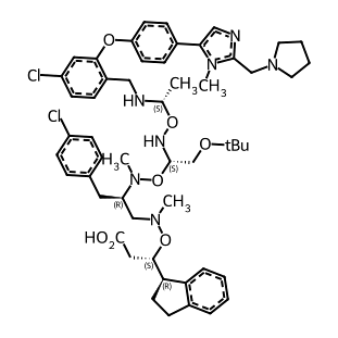 C[C@@H](NCc1ccc(Cl)cc1Oc1ccc(-c2cnc(CN3CCCC3)n2C)cc1)ON[C@H](COC(C)(C)C)ON(C)[C@H](Cc1ccc(Cl)cc1)CN(C)O[C@@H](CC(=O)O)[C@@H]1CCc2ccccc21